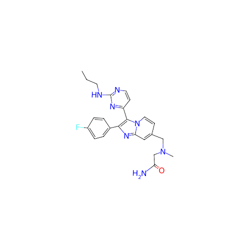 CCCNc1nccc(-c2c(-c3ccc(F)cc3)nc3cc(CN(C)CC(N)=O)ccn23)n1